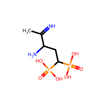 CC(=N)C(N)CC(P(=O)(O)O)P(=O)(O)O